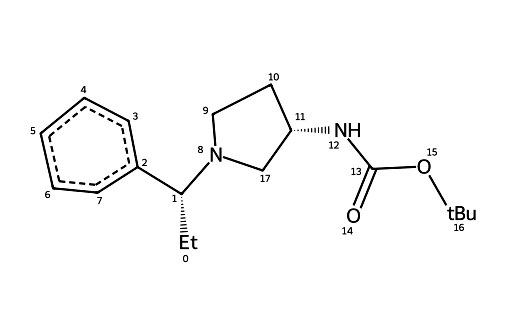 CC[C@H](c1ccccc1)N1CC[C@H](NC(=O)OC(C)(C)C)C1